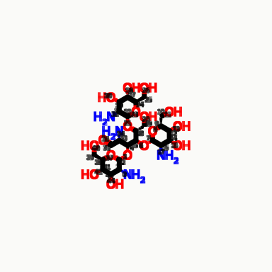 N[C@H]1[C@H](O[C@@H]([C@H](O[C@@H]2O[C@H](CO)[C@@H](O)[C@H](O)[C@H]2N)[C@@H](CO)O[C@@H]2O[C@H](CO)[C@@H](O)[C@H](O)[C@H]2N)[C@@H](N)C=O)O[C@H](CO)[C@@H](O)[C@@H]1O